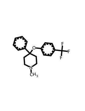 CN1CCC(Oc2ccc(C(F)(F)F)cc2)(c2ccccc2)CC1